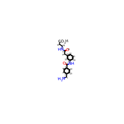 NCc1ccc(C(=O)Nc2cccc(CC(=O)NCCC(=O)O)c2)cc1